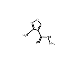 N=C(NN)c1nonc1N